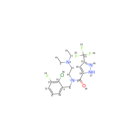 CCN(CC)CCN(Cc1cccc(F)c1Cl)C(=O)c1cc(C(F)(F)F)n[nH]1